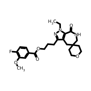 CCn1nc(CCCOC(=O)c2ccc(F)c(OC)c2)c2c1C(=O)NCC1(CCOCC1)C2